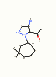 CC(=O)C1C(N)CNN1C1CCCCC(C)(C)C1